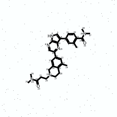 Cc1cc(-c2c[nH]c3ncc(-c4cc(C)c5c(c4)CN(CCC(=O)N(C)C)CC5)nc23)ccc1C(=O)N(C)C